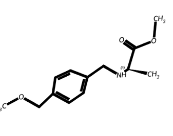 COCc1ccc(CN[C@H](C)C(=O)OC)cc1